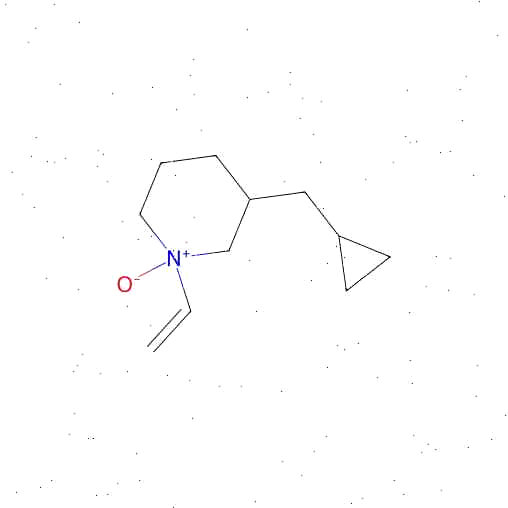 C=C[N+]1([O-])CCCC(CC2CC2)C1